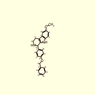 COc1ccc2[nH]c3c(c2c1)CCNC3c1ccc(OCc2ccccc2)cc1